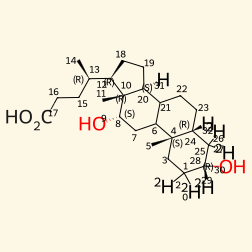 [2H]C1([2H])C[C@]2(C)C3C[C@H](O)[C@]4(C)[C@@H]([C@H](C)CCC(=O)O)CC[C@H]4C3CC[C@@H]2C([2H])([2H])[C@]1([2H])O